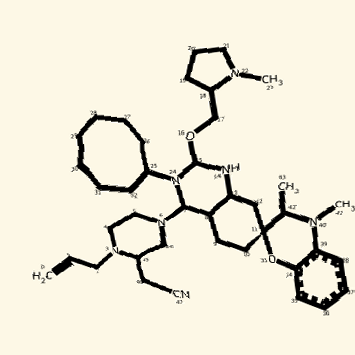 C=CCN1CCN(C2C3CC[C@]4(CC3NC(OCC3CCCN3C)N2C2CCCCCCC2)Oc2ccccc2N(C)C4C)CC1CC#N